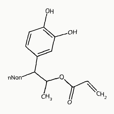 C=CC(=O)OC(C)C(CCCCCCCCC)c1ccc(O)c(O)c1